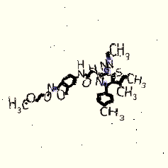 C/C=N/N=C/[C@H](CC(=O)Nc1ccc2c(c1)CO/C2=N\OCCOC)/N=C(/c1ccc(C)cc1)c1c(C)sc(C)c1C